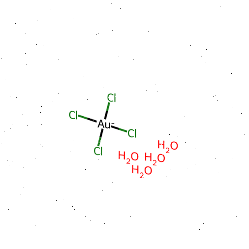 O.O.O.O.[Cl][Au-]([Cl])([Cl])[Cl]